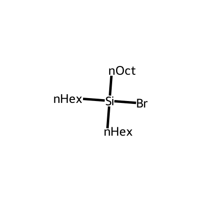 CCCCCCCC[Si](Br)(CCCCCC)CCCCCC